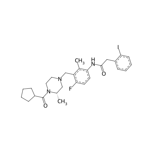 Cc1c(NC(=O)Cc2ccccc2I)ccc(F)c1CN1CCN(C(=O)C2CCCC2)[C@@H](C)C1